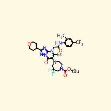 CCc1c(N2CCN(C(=O)OC(C)(C)C)CC(F)(F)C2)c(=O)n2nc(C3=CCOCC3)nc2n1CC(=O)Nc1ccc(C(F)(F)F)cc1C